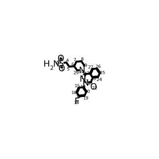 NS(=O)(=O)CCC1CCCN(c2nn(-c3ccc(F)cc3)c(=O)c3ccccc23)C1